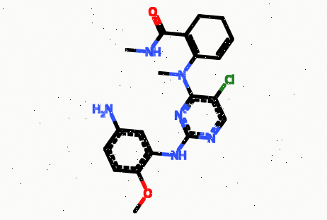 CNC(=O)C1=C(N(C)c2nc(Nc3cc(N)ccc3OC)ncc2Cl)C=CCC1